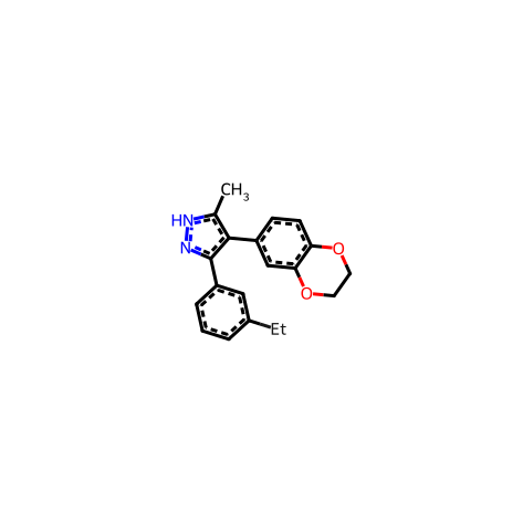 CCc1cccc(-c2n[nH]c(C)c2-c2ccc3c(c2)OCCO3)c1